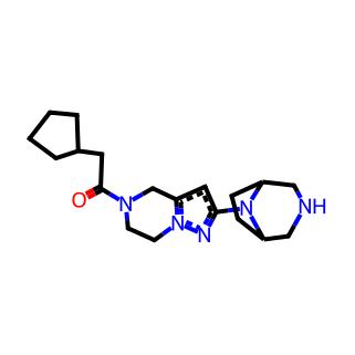 O=C(CC1CCCC1)N1CCn2nc(N3C4CCC3CNC4)cc2C1